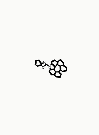 c1cc2c3c(c1)ccc1ccc4c(c13)c1c3c-2cccc3ccc1n4-c1nc2ccccc2o1